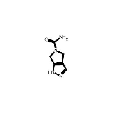 NC(=O)N1Cc2cn[nH]c2C1